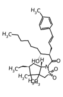 CCCCCC[C@@H](O)[C@@H](C/C=C/c1ccc(C)cc1)C(=O)N1[C@H]2C[C@H](CC)C(C)(C)C2(C)CS1(=O)=O